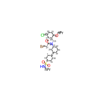 CCCNS(=O)(=O)c1ccc(-c2cccc(N(Cc3cc(Cl)ccc3OCCC)C(=O)CBr)c2)cc1